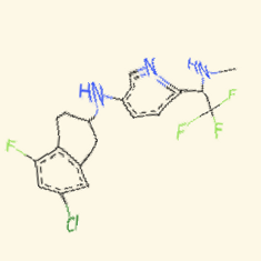 CNC(c1ccc(NC2Cc3cc(Cl)cc(F)c3C2)cn1)C(F)(F)F